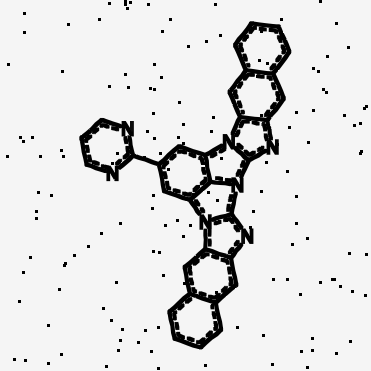 c1cnc(-c2cc3c4c(c2)n2c5cc6ccccc6cc5nc2n4c2nc4cc5ccccc5cc4n32)nc1